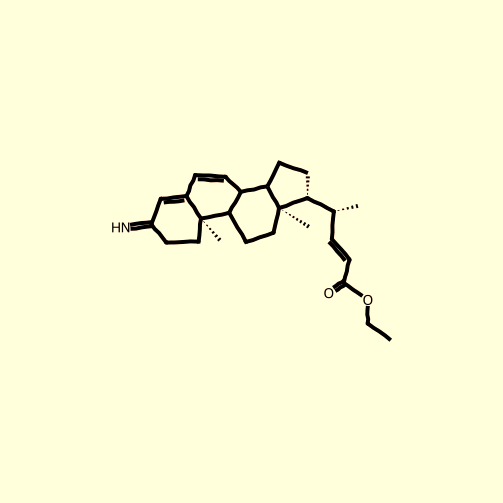 CCOC(=O)/C=C/[C@@H](C)[C@H]1CCC2C3C=CC4=CC(=N)CC[C@]4(C)C3CC[C@@]21C